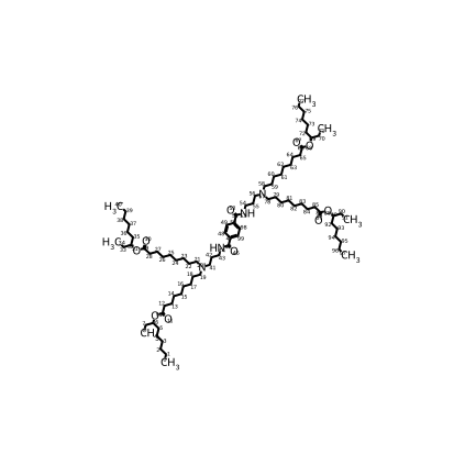 CCCCCCC(CC)OC(=O)CCCCCCCCN(CCCCCCCCC(=O)OC(CC)CCCCCC)CCCNC(=O)c1ccc(C(=O)NCCCN(CCCCCCCCC(=O)OC(CC)CCCCCC)CCCCCCCCC(=O)OC(CC)CCCCCC)cc1